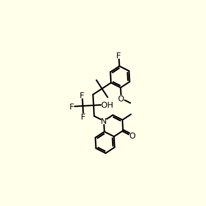 COc1ccc(F)cc1C(C)(C)CC(O)(Cn1cc(C)c(=O)c2ccccc21)C(F)(F)F